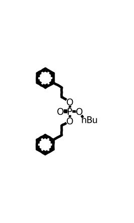 CCCCOP(=O)(OCCc1ccccc1)OCCc1ccccc1